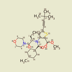 CC[C@H](C(=O)N1CCOCC1)N(c1cc(C#CC(C)(C)C)sc1C(=O)OC)C(=O)[C@H]1CC[C@H](C)CC1